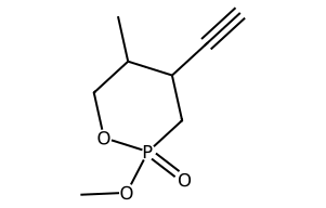 C#CC1CP(=O)(OC)OCC1C